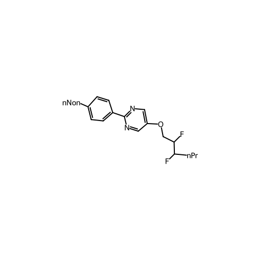 CCCCCCCCCc1ccc(-c2ncc(OCC(F)C(F)CCC)cn2)cc1